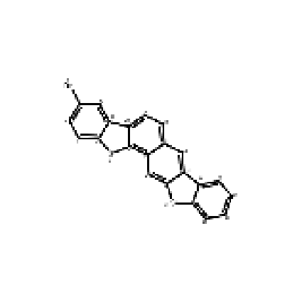 Brc1ccc2sc3c4cc5sc6ccccc6c5cc4ccc3c2c1